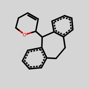 C1=CC(C2c3ccccc3CCc3ccccc32)OCC1